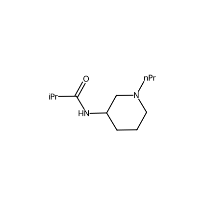 CCCN1CCCC(NC(=O)C(C)C)C1